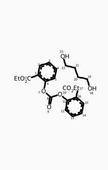 CCOC(=O)c1ccccc1OC(=O)Oc1ccccc1C(=O)OCC.OCCCCO